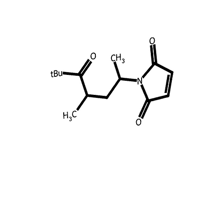 CC(CC(C)N1C(=O)C=CC1=O)C(=O)C(C)(C)C